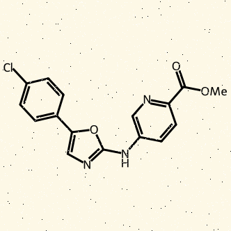 COC(=O)c1ccc(Nc2ncc(-c3ccc(Cl)cc3)o2)cn1